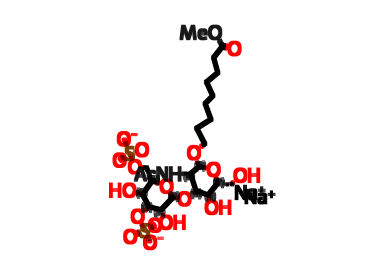 COC(=O)CCCCCCCCO[C@@H]1O[C@H](CO)[C@@H](O)[C@H](O[C@@H]2O[C@H](COS(=O)(=O)[O-])[C@H](O)[C@H](OS(=O)(=O)[O-])[C@H]2O)[C@H]1NC(C)=O.[Na+].[Na+]